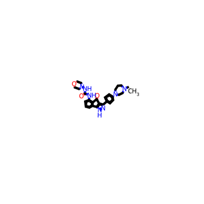 CCN1CCCN(c2ccc(-c3n[nH]c4c3C(=O)c3c(NC(=O)NN5CCOCC5)cccc3-4)cc2)CC1